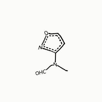 CN(C=O)c1ccon1